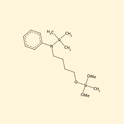 CO[Si](C)(OC)OCCCCN(c1ccccc1)[Si](C)(C)C